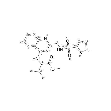 COC(=O)[C@@H](Nc1nc(CNS(=O)(=O)c2cccs2)nc2ccccc12)C(C)C